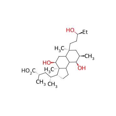 CC[C@H](O)CC[C@@]1(C)C[C@@H](C)[C@@H](O)C2C1C[C@H](O)[C@@]1(C)C2CC[C@@H]1[C@H](C)C[C@H](C)C(=O)O